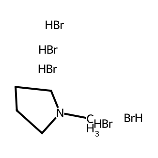 Br.Br.Br.Br.Br.CN1CCCC1